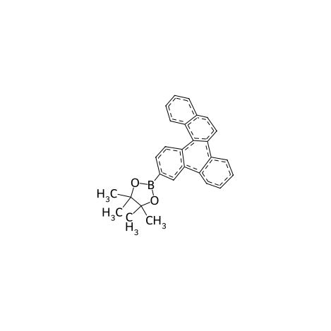 CC1(C)OB(c2ccc3c(c2)c2ccccc2c2ccc4ccccc4c23)OC1(C)C